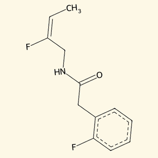 C/C=C(/F)CNC(=O)Cc1ccccc1F